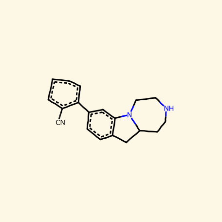 N#Cc1ccccc1-c1ccc2c(c1)N1CCNCCC1C2